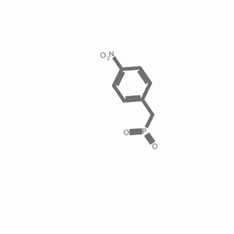 O=[N+]([O-])c1ccc(CP(=O)=O)cc1